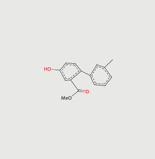 COC(=O)c1cc(O)ccc1-c1cccc(C)c1